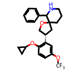 FC(F)(F)Oc1ccc(OC2CC2)c([C@@H]2COC3(CCCNC3c3ccccc3)C2)c1